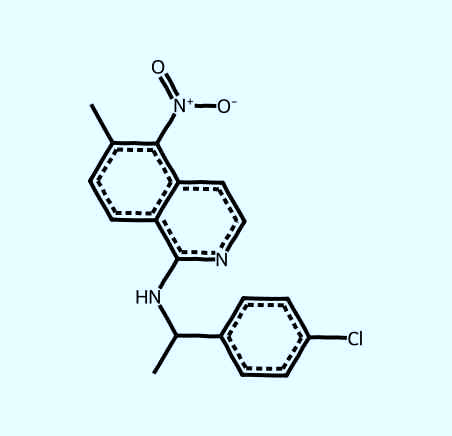 Cc1ccc2c(NC(C)c3ccc(Cl)cc3)nccc2c1[N+](=O)[O-]